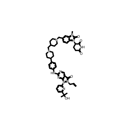 C=CCn1c(=O)c2cnc(Nc3ccc(C4CCN(CC5CCN(Cc6ccc7c(c6)n(C)c(=O)n7C6CCC(=O)NC6=O)CC5)CC4)cc3)nc2n1-c1cccc(C(C)(C)O)n1